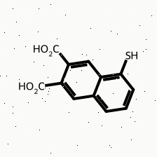 O=C(O)c1cc2cccc(S)c2cc1C(=O)O